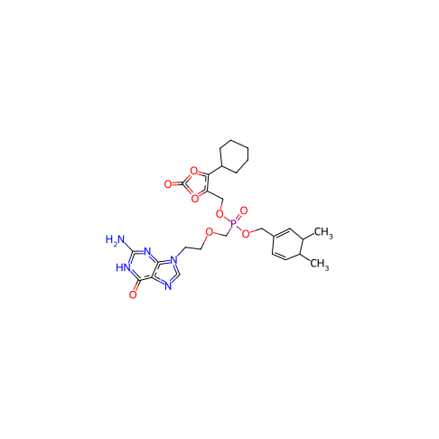 CC1C=CC(COP(=O)(COCCn2cnc3c(=O)[nH]c(N)nc32)OCc2oc(=O)oc2C2CCCCC2)=CC1C